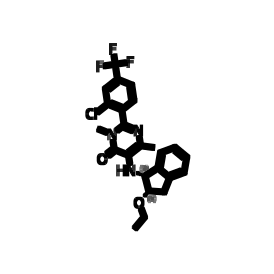 CCO[C@H]1Cc2ccccc2[C@H]1Nc1c(C)nc(-c2ccc(C(F)(F)F)cc2Cl)n(C)c1=O